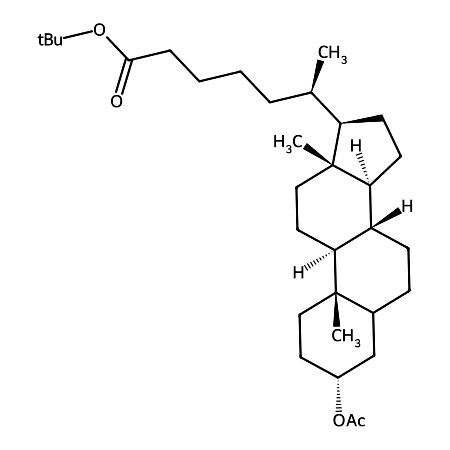 CC(=O)O[C@@H]1CC[C@@]2(C)C(CC[C@H]3[C@@H]4CC[C@H]([C@H](C)CCCCC(=O)OC(C)(C)C)[C@@]4(C)CC[C@@H]32)C1